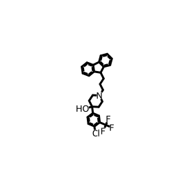 OC1(c2ccc(Cl)c(C(F)(F)F)c2)CCN(CCCC2c3ccccc3-c3ccccc32)CC1